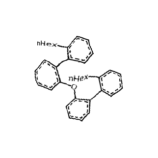 CCCCCCc1ccccc1-c1ccccc1Oc1ccccc1-c1ccccc1CCCCCC